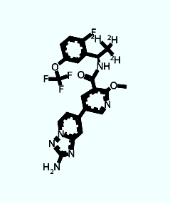 [2H]C([2H])([2H])[C@@H](NC(=O)c1cc(-c2ccn3nc(N)nc3c2)cnc1OC)c1cc(OC(F)(F)F)ccc1F